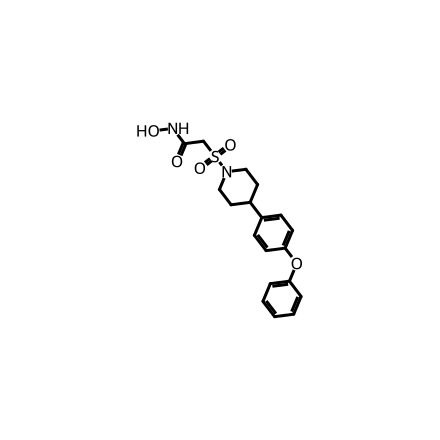 O=C(CS(=O)(=O)N1CCC(c2ccc(Oc3ccccc3)cc2)CC1)NO